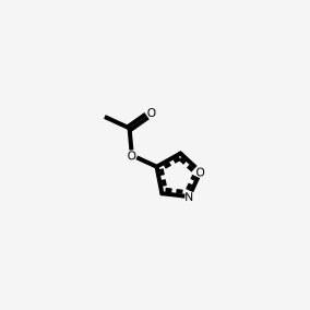 CC(=O)Oc1cnoc1